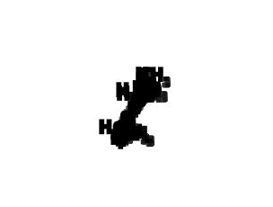 Cc1ncsc1-c1ccc(CNC(=O)[C@@H]2CCCN2C(=O)[C@@H](NC(=O)COCCCOCCCCCOc2ccc(N(C(=S)N(C)c3cnc(C#N)c(C(F)(F)F)c3)C(C)(C)C=O)cc2)C(C)(C)C)cc1